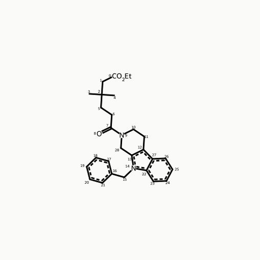 CCOC(=O)CC(C)(C)CCC(=O)N1CCc2c(n(Cc3ccccc3)c3ccccc23)C1